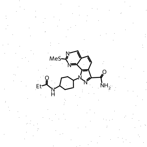 CCC(=O)NC1CCC(n2nc(C(N)=O)c3ccc4cnc(SC)nc4c32)CC1